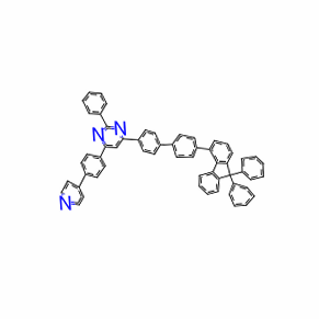 c1ccc(-c2nc(-c3ccc(-c4ccncc4)cc3)cc(-c3ccc(-c4ccc(-c5cccc6c5-c5ccccc5C6(c5ccccc5)c5ccccc5)cc4)cc3)n2)cc1